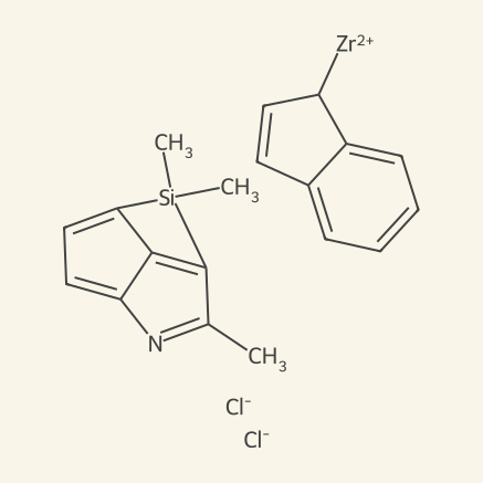 CC1=NC2=CC=C3C2=C1[Si]3(C)C.[Cl-].[Cl-].[Zr+2][CH]1C=Cc2ccccc21